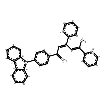 C=C(/C=C(\C=C(/C)c1ccccn1)c1ccccn1)c1ccc(-n2c3ccccc3c3ccccc32)cc1